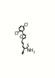 C#C/C(=C/C=C/c1ccc(-c2cc(Cl)ccc2Cl)o1)C(N)=S